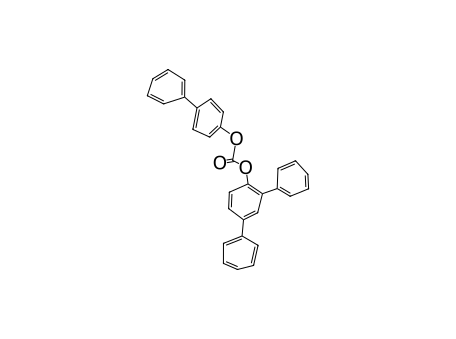 O=C(Oc1ccc(-c2ccccc2)cc1)Oc1ccc(-c2ccccc2)cc1-c1ccccc1